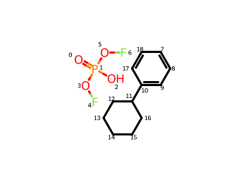 O=P(O)(OF)OF.c1ccc(C2CCCCC2)cc1